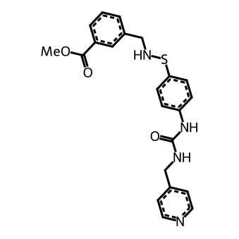 COC(=O)c1cccc(CNSc2ccc(NC(=O)NCc3ccncc3)cc2)c1